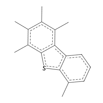 Cc1c(C)c(C)c2c(sc3c(C)cccc32)c1C